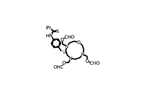 CC(C)C(=S)Nc1ccc(C[C@H]2CN(COC=O)CCN(COC=O)CCOCCN2COC=O)cc1